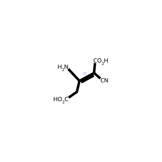 N#C/C(C(=O)O)=C(/N)CC(=O)O